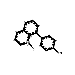 N#Cc1ccc(-c2cccc3ccc[n+]([O-])c23)cc1